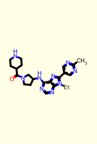 CCn1c(-c2cnc(C)nc2)nc2c(NC3CCN(C(=O)C4CCNCC4)C3)ncnc21